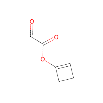 O=CC(=O)OC1=CCC1